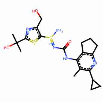 Cc1c(C2CC2)nc2c(c1NC(=O)/N=S(\N)c1sc(C(C)(C)O)nc1CO)CCC2